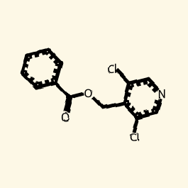 O=C(OCc1c(Cl)cncc1Cl)c1ccccc1